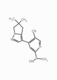 CN(N=O)c1cc(-c2cnn3c2CC(C)(C)C3)c(C#N)cn1